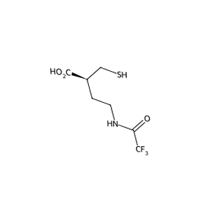 O=C(O)[C@@H](CS)CCNC(=O)C(F)(F)F